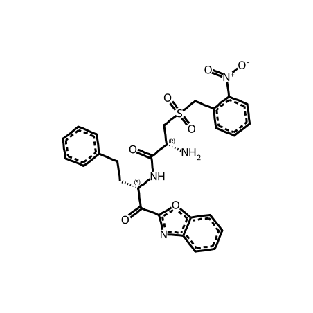 N[C@@H](CS(=O)(=O)Cc1ccccc1[N+](=O)[O-])C(=O)N[C@@H](CCc1ccccc1)C(=O)c1nc2ccccc2o1